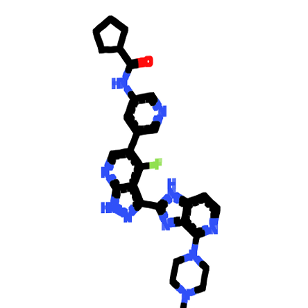 CN1CCN(c2nccc3[nH]c(-c4n[nH]c5ncc(-c6cncc(NC(=O)C7CCCC7)c6)c(F)c45)nc23)CC1